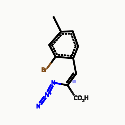 Cc1ccc(/C=C(\N=[N+]=[N-])C(=O)O)c(Br)c1